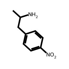 CC(N)Cc1ccc([N+](=O)[O-])cc1